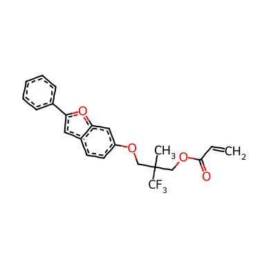 C=CC(=O)OCC(C)(COc1ccc2cc(-c3ccccc3)oc2c1)C(F)(F)F